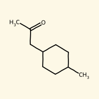 CC(=O)CC1CCC(C)CC1